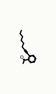 CCCCCCC#Cc1ccccc1C(C)=O